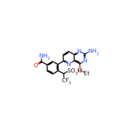 CCOc1nc(N)nc2ccc(-c3cc(C(N)=O)ccc3C(C(F)(F)F)S(=O)(=O)O)nc12